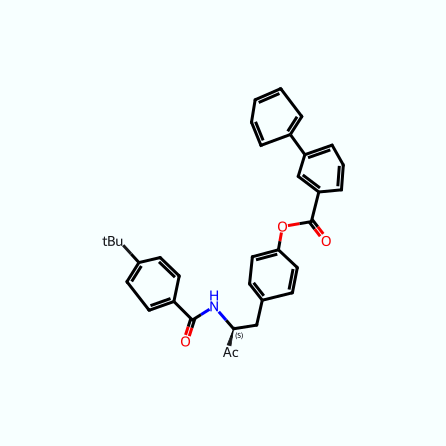 CC(=O)[C@H](Cc1ccc(OC(=O)c2cccc(-c3ccccc3)c2)cc1)NC(=O)c1ccc(C(C)(C)C)cc1